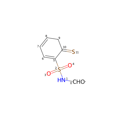 O=[C]NS(=O)(=O)C1=CC=CCC1=S